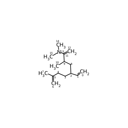 C=CC(CCC(=C)C)CC(C)C(=C)N(C)C